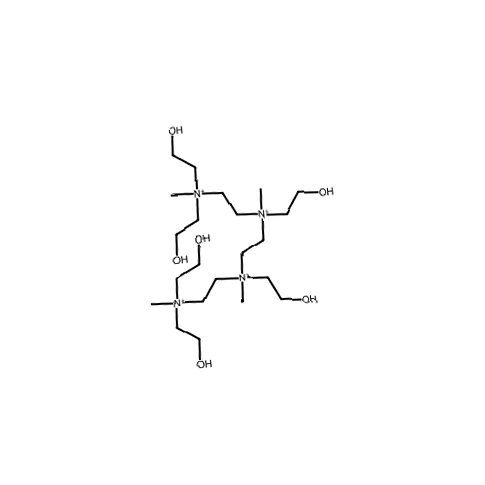 C[N+](CCO)(CCO)CC[N+](C)(CCO)CC[N+](C)(CCO)CC[N+](C)(CCO)CCO